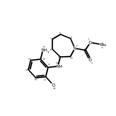 CC(C)(C)OC(=O)N1CCCCC(Nc2c(N)cccc2Cl)C1